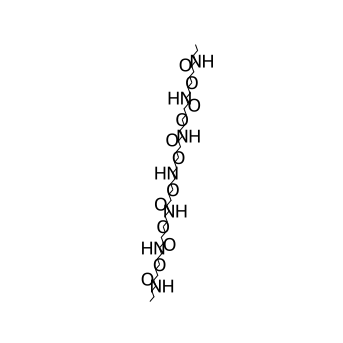 CCCNC(=O)CCOCCNC(=O)CCOCCNC(=O)CCOCCNCCOCCC(=O)NCCOCCC(=O)NCCOCCC(=O)NCCC